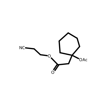 CC(=O)OC1(CC(=O)OCCC#N)CCCCC1